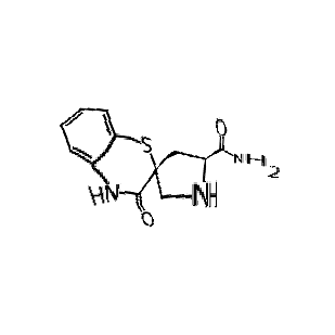 NC(=O)[C@@H]1C[C@]2(CN1)Sc1ccccc1NC2=O